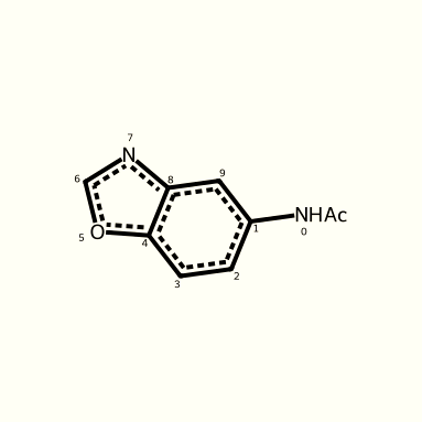 CC(=O)Nc1ccc2ocnc2c1